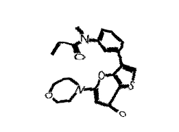 C=CC(=O)N(C)c1cccc(-c2csc3c(=O)cc(N4CCOCC4)oc23)c1